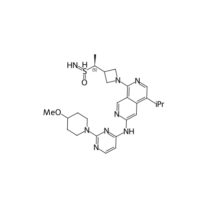 COC1CCN(c2nccc(Nc3cc4c(C(C)C)cnc(N5CC([C@H](C)[SH](=N)=O)C5)c4cn3)n2)CC1